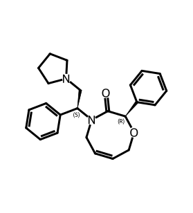 O=C1[C@@H](c2ccccc2)OCC=CCN1[C@H](CN1CCCC1)c1ccccc1